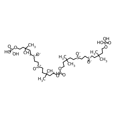 CC(C)(CCO[PH](=O)OCCC(C)(C)CC[S+]([O-])CC[S+]([O-])CCC(C)(C)CCOP(=O)(O)O)CC[S+]([O-])CC[S+]([O-])CCC(C)(C)CCOP(=O)(O)O